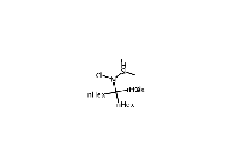 CCCCCCC(CCCCCC)(CCCCCC)N(Cl)[SiH](C)C.Cl